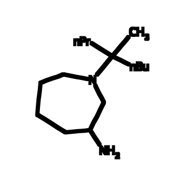 CCCCC(C)(CCC)N1CCCCC(N)C1